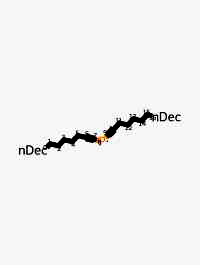 CCCCCCCCCCCCCCCC#C[P]C#CCCCCCCCCCCCCCCC